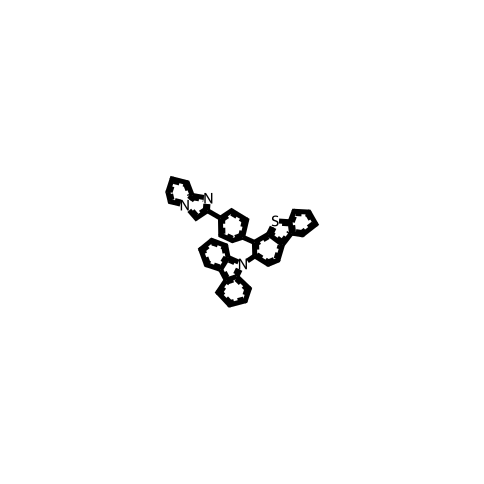 c1ccc2c(c1)sc1c(-c3ccc(-c4cn5ccccc5n4)cc3)c(-n3c4ccccc4c4ccccc43)ccc12